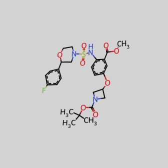 COC(=O)c1cc(OC2CN(C(=O)OC(C)(C)C)C2)ccc1NS(=O)(=O)N1CCOC(c2ccc(F)cc2)C1